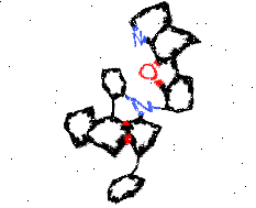 c1ccc(-c2ccc(N(c3ccccc3-c3cccc4ccccc34)c3cccc4c3oc3c4ccc4cccnc43)cc2)cc1